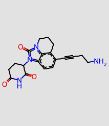 NCCC#Cc1ccc2c3c1CCCn3c(=O)n2C1CCC(=O)NC1=O